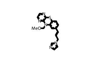 COCN1c2cc(C=CCn3ccnc3)ccc2Sc2nccnc21